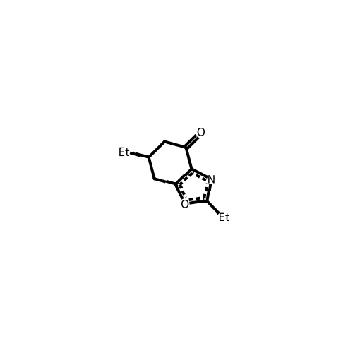 CCc1nc2c(o1)CC(CC)CC2=O